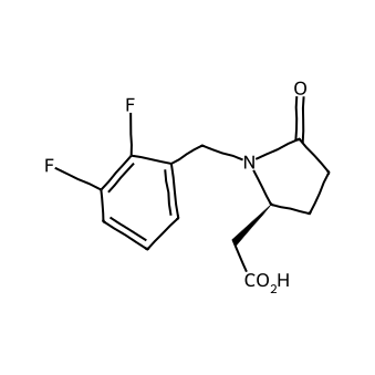 O=C(O)C[C@@H]1CCC(=O)N1Cc1cccc(F)c1F